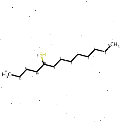 CCCCCCCCC(S)CCCC